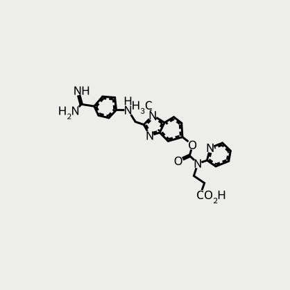 Cn1c(CNc2ccc(C(=N)N)cc2)nc2cc(OC(=O)N(CCC(=O)O)c3ccccn3)ccc21